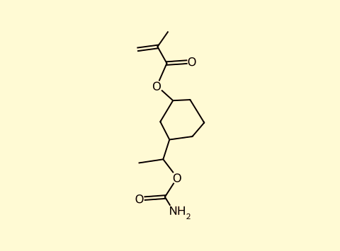 C=C(C)C(=O)OC1CCCC(C(C)OC(N)=O)C1